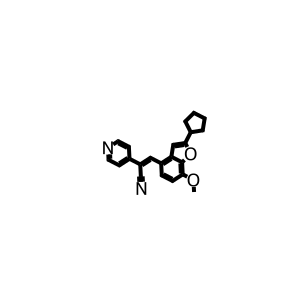 COc1ccc(C=C(C#N)c2ccncc2)c2cc(C3CCCC3)oc12